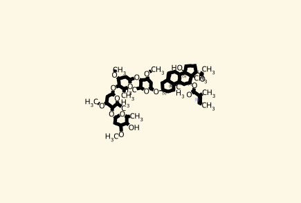 C/C=C(\C)C(=O)O[C@@H]1CC2C(CC=C3C[C@@H](OC4CC(OC)C(OC5CC(OC)C(OC6CC(OC)C(OC7CC(OC)C(O)C(C)O7)C(C)O6)C(C)O5)C(C)O4)CC[C@@]32C)[C@@]2(O)CC[C@H](C(C)=O)[C@@]12C